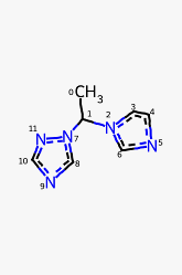 CC(n1ccnc1)n1cncn1